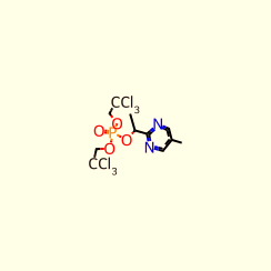 Cc1cnc(C(C)OP(=O)(OCC(Cl)(Cl)Cl)OCC(Cl)(Cl)Cl)nc1